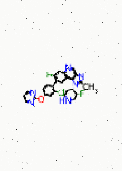 Cc1nc2cnc3cc(F)c(-c4ccc(Oc5ncccn5)cc4Cl)cc3c2n1[C@H]1CCNC[C@H]1F